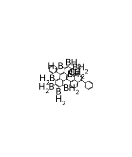 BC(=C)/C(B)=C(/B)c1c(B)c(-c2cccc3c(-c4ccccc4)cccc23)c2c(B)c(B)c(B)c(B)c2c1-c1ccccc1